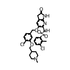 Cc1c(Cl)cccc1S(=O)(=O)Nc1nc2c(cc1OCc1ccc(Cl)c(OCC3CCN(C)CC3)c1)CC(=O)N2